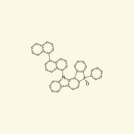 O=P1(c2ccccc2)c2ccccc2-c2c1ccc1c3ccccc3n(-c3cccc4c(-c5cccc6ccccc56)cccc34)c21